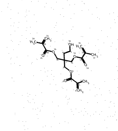 C=C(C)C(=O)OCC(CCO)(COC(=O)C(=C)C)COC(=O)C(=C)C